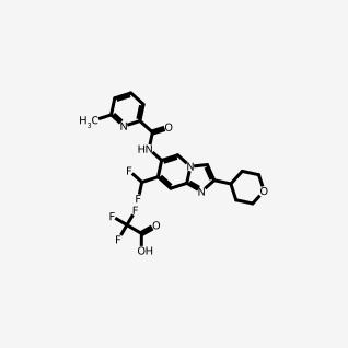 Cc1cccc(C(=O)Nc2cn3cc(C4CCOCC4)nc3cc2C(F)F)n1.O=C(O)C(F)(F)F